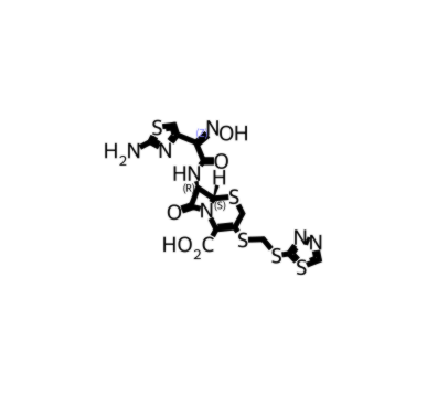 Nc1nc(/C(=N/O)C(=O)N[C@@H]2C(=O)N3C(C(=O)O)=C(SCSc4nncs4)CS[C@@H]23)cs1